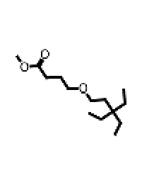 CCC(CC)(CC)CCOCCCC(=O)OC